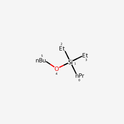 [CH2]CC[Si](CC)(CC)OCCCC